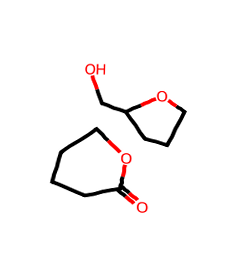 O=C1CCCCO1.OCC1CCCO1